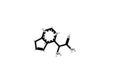 NC(=O)C(N)c1ncnc2c1C=CC2